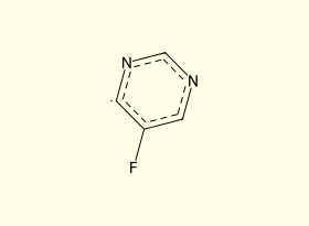 Fc1[c]ncnc1